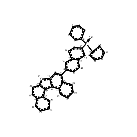 O=P(c1ccccc1)(c1ccccc1)c1ccc2cc(-c3cc4oc5ccc6ccccc6c5c4c4ccccc34)ccc2c1